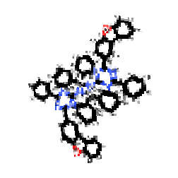 c1ccc(-c2nc(-c3ccc4oc5ccccc5c4c3)nc(N3[Si](c4ccccc4)(c4ccccc4)N(c4nc(-c5ccccc5)nc(-c5ccc6oc7ccccc7c6c5)n4)[Si]3(c3ccccc3)c3ccccc3)n2)cc1